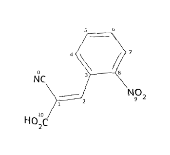 N#C/C(=C\c1ccccc1[N+](=O)[O-])C(=O)O